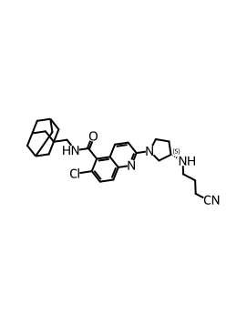 N#CCCCN[C@H]1CCN(c2ccc3c(C(=O)NCC45CC6CC(CC(C6)C4)C5)c(Cl)ccc3n2)C1